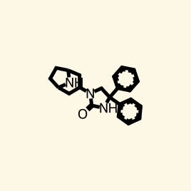 O=C1NC(c2ccccc2)(c2ccccc2)CN1C1CC2CCC(C1)N2